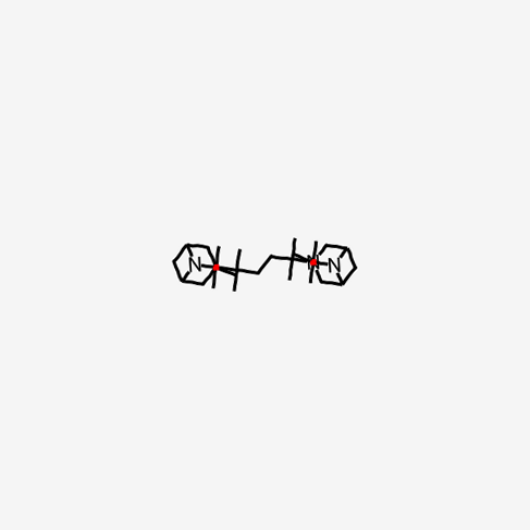 CC(C)(CCC(C)(C)N1CC2CC(C1)N2C(C)(C)C)C1CC2CC(C1)N2C(C)(C)C